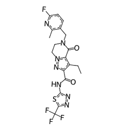 CCc1c(C(=O)Nc2nnc(C(F)(F)F)s2)nn2c1C(=O)N(Cc1ccc(F)nc1C)CC2